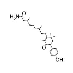 CC1=C(/C=C/C(C)=C/C=C/C(C)=C/C(N)=O)C(C)(C)CC(c2ccc(O)cc2)C1=O